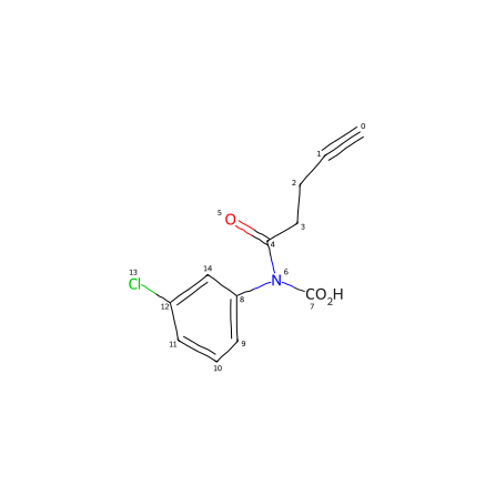 C#CCCC(=O)N(C(=O)O)c1cccc(Cl)c1